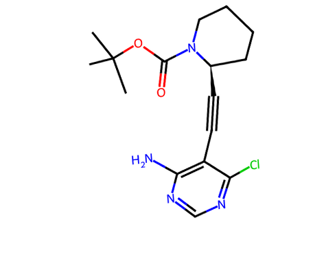 CC(C)(C)OC(=O)N1CCCC[C@H]1C#Cc1c(N)ncnc1Cl